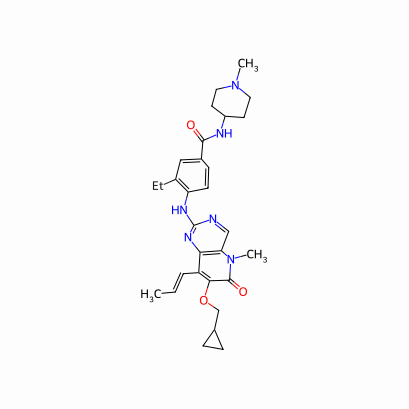 CC=Cc1c(OCC2CC2)c(=O)n(C)c2cnc(Nc3ccc(C(=O)NC4CCN(C)CC4)cc3CC)nc12